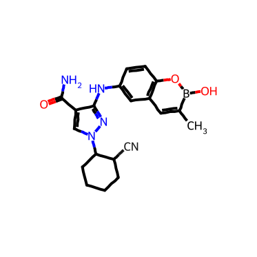 CC1=Cc2cc(Nc3nn(C4CCCCC4C#N)cc3C(N)=O)ccc2OB1O